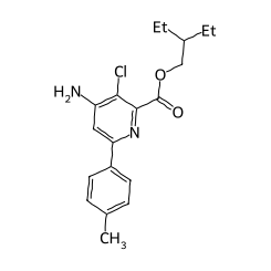 CCC(CC)COC(=O)c1nc(-c2ccc(C)cc2)cc(N)c1Cl